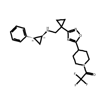 O=C(N1CCC(c2nc(C3(CN[C@H]4C[C@@H]4c4ccccc4)CC3)no2)CC1)C(F)(F)F